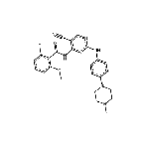 COc1cccc(F)c1C(=O)Nc1nc(Nc2ccc(N3CCN(C)CC3)cc2)ncc1C#N